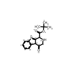 CC(C)(C)OC(=O)C1NCC(=O)C2C1=Nc1ccccc12